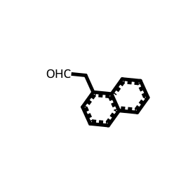 O=CCc1cccc2ccccc12